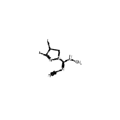 CN/C(=N/C#N)N1CC(I)C(I)=N1